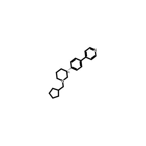 c1cc(-c2ccc([C@H]3CCCN(CC4CCCC4)C3)cc2)ccn1